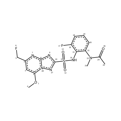 COc1cc(CF)nc2nc(S(=O)(=O)Nc3c(F)cccc3N(C)C(C)=O)nn12